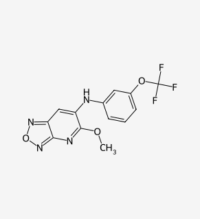 COc1nc2nonc2cc1Nc1cccc(OC(F)(F)F)c1